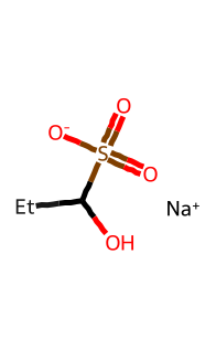 CCC(O)S(=O)(=O)[O-].[Na+]